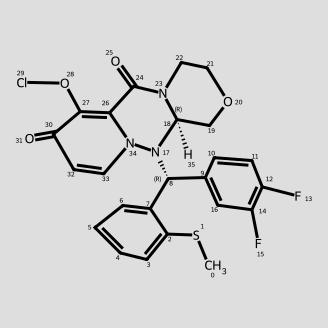 CSc1ccccc1[C@@H](c1ccc(F)c(F)c1)N1[C@@H]2COCCN2C(=O)c2c(OCl)c(=O)ccn21